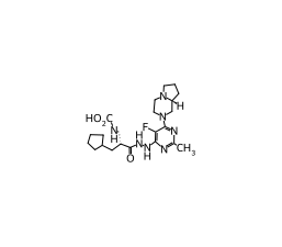 Cc1nc(NNC(=O)[C@@H](CNC(=O)O)CC2CCCC2)c(F)c(N2CCN3CCC[C@@H]3C2)n1